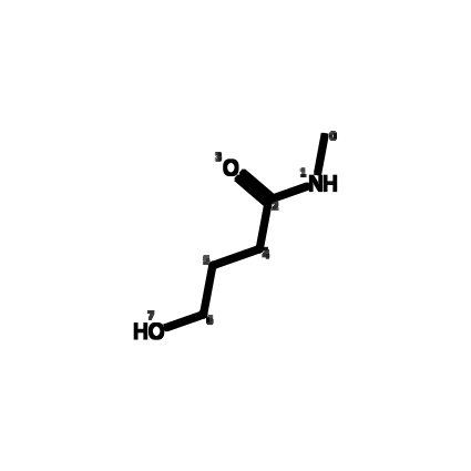 CNC(=O)[CH]CCO